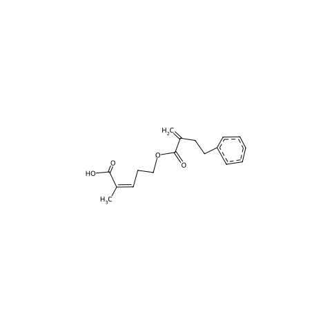 C=C(CCc1ccccc1)C(=O)OCCC=C(C)C(=O)O